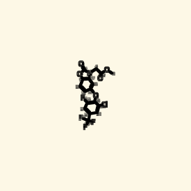 COC(=O)Cn1c(=O)oc2ccc(Oc3c(F)cc(C(F)(F)F)cc3Cl)cc21